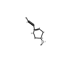 CC#CC1=CCC(OC)CC1